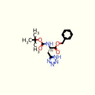 CC(C)(C)OC(=O)N[C@@H](Cc1nnn[nH]1)C(=O)OCc1ccccc1